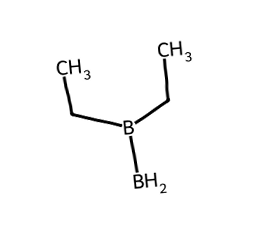 BB(CC)CC